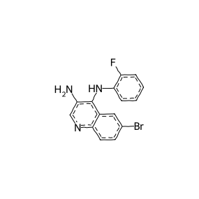 Nc1cnc2ccc(Br)cc2c1Nc1ccccc1F